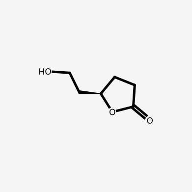 O=C1CC[C@H](CCO)O1